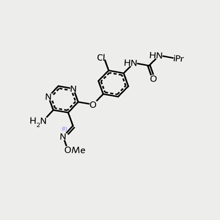 CO/N=C/c1c(N)ncnc1Oc1ccc(NC(=O)NC(C)C)c(Cl)c1